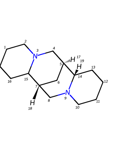 C1CCN2C[C@@H]3C[C@H](CN4CCCC[C@@H]34)C2C1